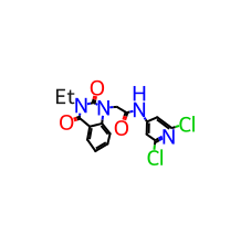 CCn1c(=O)c2ccccc2n(CC(=O)Nc2cc(Cl)nc(Cl)c2)c1=O